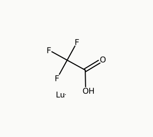 O=C(O)C(F)(F)F.[Lu]